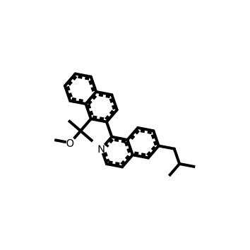 COC(C)(C)c1c(-c2nccc3cc(CC(C)C)ccc23)ccc2ccccc12